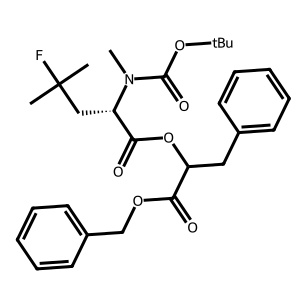 CN(C(=O)OC(C)(C)C)[C@@H](CC(C)(C)F)C(=O)OC(Cc1ccccc1)C(=O)OCc1ccccc1